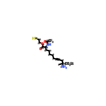 CCOC(=O)[C@@](C)(N)CC#CCCCCC[C@H](NC(=O)C(F)(F)F)C(=O)OCCS